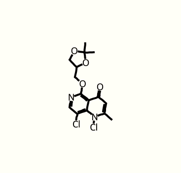 Cc1cc(=O)c2c(OCC3COC(C)(C)O3)ncc(Cl)c2n1Cl